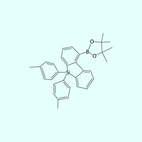 Cc1ccc([Si]2(c3ccc(C)cc3)c3ccccc3-c3c(B4OC(C)(C)C(C)(C)O4)cccc32)cc1